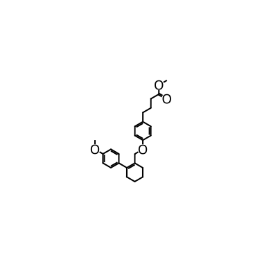 COC(=O)CCCc1ccc(OCC2=C(c3ccc(OC)cc3)CCCC2)cc1